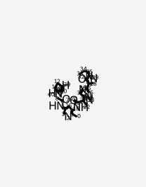 Cc1ncc(NC(=O)CN2C[C@@H]3CC[C@H]2C3)cc1NC(=O)c1cnn2cc(-c3cnn4c3OCCC4)ncc12